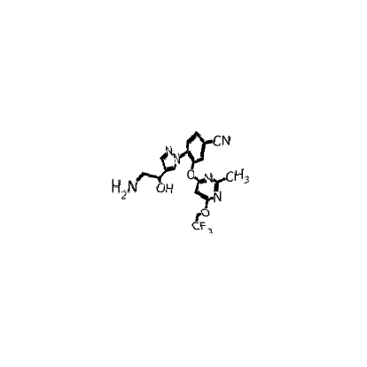 Cc1nc(OCC(F)(F)F)cc(Oc2cc(C#N)ccc2-n2cc(C(O)CN)cn2)n1